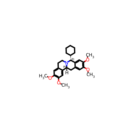 COc1cc2c(cc1OC)[C@H]1Cc3cc(OC)c(OC)cc3[C@@H](C3CCCCC3)N1CC2